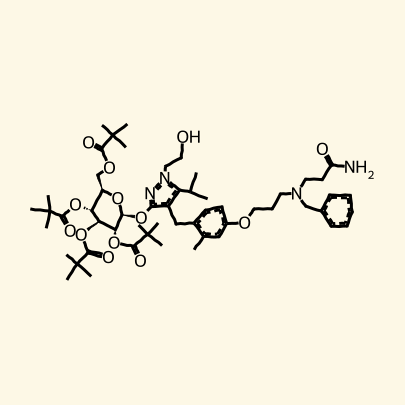 Cc1cc(OCCCN(CCC(N)=O)Cc2ccccc2)ccc1Cc1c(O[C@@H]2O[C@H](COC(=O)C(C)(C)C)[C@@H](OC(=O)C(C)(C)C)[C@H](OC(=O)C(C)(C)C)[C@H]2OC(=O)C(C)(C)C)nn(CCO)c1C(C)C